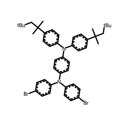 CC(C)(C)CC(C)(C)c1ccc(N(c2ccc(N(c3ccc(Br)cc3)c3ccc(Br)cc3)cc2)c2ccc(C(C)(C)CC(C)(C)C)cc2)cc1